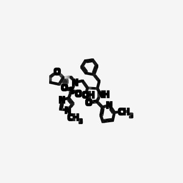 Cc1cccc(C(=O)NC(Cc2ccccc2)C(O)CN(C[C@@H]2CCCO2)S(=O)(=O)c2cn(C)cn2)n1